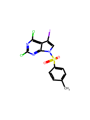 Cc1ccc(S(=O)(=O)n2cc(I)c3c(Cl)nc(Cl)nc32)cc1